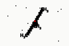 CCCCCCCCCCCCCC(=O)O[C@H](CCCCCCCCCCC)C(C)=O